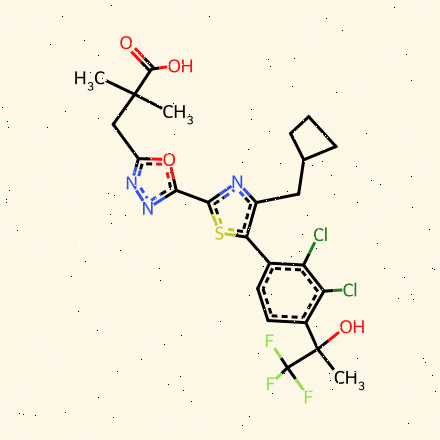 CC(C)(Cc1nnc(-c2nc(CC3CCC3)c(-c3ccc(C(C)(O)C(F)(F)F)c(Cl)c3Cl)s2)o1)C(=O)O